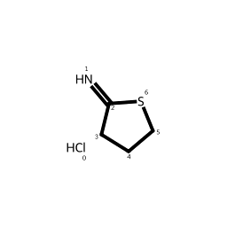 Cl.N=C1CCCS1